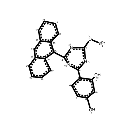 CCCOc1nc(-c2ccc(O)cc2O)nc(-c2c3ccccc3cc3ccccc23)n1